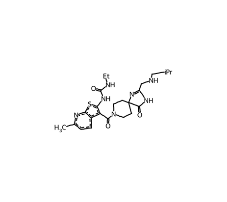 CCNC(=O)Nc1sc2nc(C)ccc2c1C(=O)N1CCC2(CC1)N=C(CNCC(C)C)NC2=O